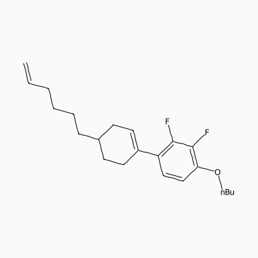 C=CCCCCC1CC=C(c2ccc(OCCCC)c(F)c2F)CC1